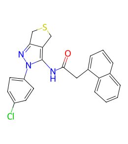 O=C(Cc1cccc2ccccc12)Nc1c2c(nn1-c1ccc(Cl)cc1)CSC2